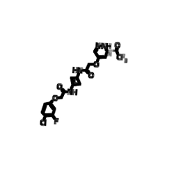 O=C(COC1=C[C@@H](C(=O)C(F)(F)F)NN=C1)NC12CC(NC(=O)COc3ccc(Cl)c(F)c3)(C1)C2